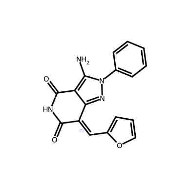 Nc1c2c(nn1-c1ccccc1)/C(=C\c1ccco1)C(=O)NC2=O